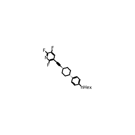 CCCCCCc1ccc([C@H]2CC[C@H](C#Cc3cc(F)c(F)nc3F)CC2)cc1